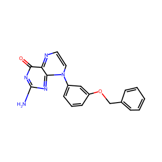 Nc1nc2n(-c3cccc(OCc4ccccc4)c3)ccnc-2c(=O)n1